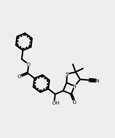 CC1(C)SC2C(C(O)c3ccc(C(=O)OCc4ccccc4)cc3)C(=O)N2C1C#N